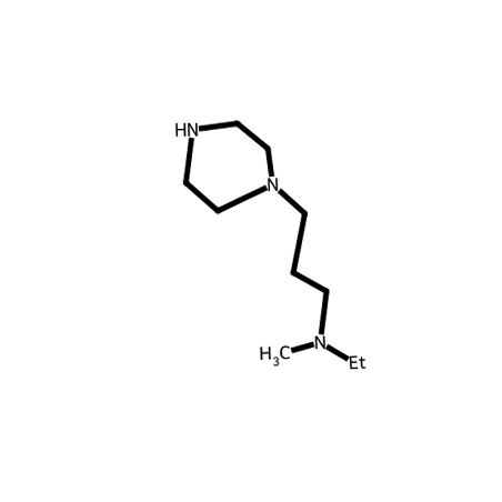 CCN(C)CCCN1CCNCC1